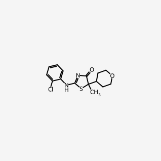 CC1(C2CCOCC2)SC(Nc2ccccc2Cl)=NC1=O